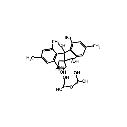 Cc1cc(C)c(C(O)(c2c(C)cc(C)cc2C(C)(C)C)C(CO)(CO)CO)c(C(C)(C)C)c1.OP(O)OP(O)O